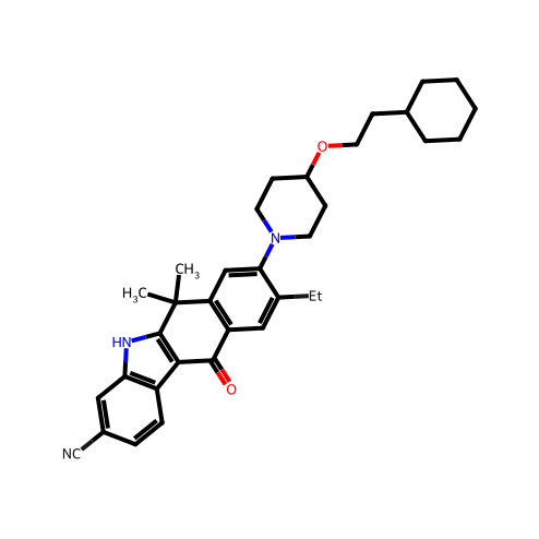 CCc1cc2c(cc1N1CCC(OCCC3CCCCC3)CC1)C(C)(C)c1[nH]c3cc(C#N)ccc3c1C2=O